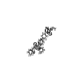 CC(C)n1ncn(-c2ccc(N3CCN(C(C(=O)NCc4ccccn4)c4ccccc4)CC3)cc2)c1=O